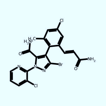 Cc1cc(Cl)cc(C=CC(N)=O)c1-c1c(Br)nn(-c2ncccc2Cl)c1C(N)=O